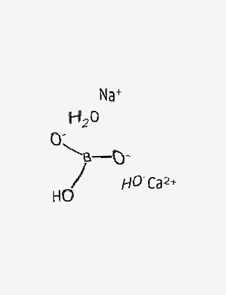 O.[Ca+2].[Na+].[O-]B([O-])O.[OH-]